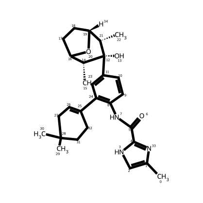 Cc1c[nH]c(C(=O)Nc2ccc([C@@]3(O)[C@H](C)C4CC[C@@H](O4)[C@@H]3C)cc2C2=CCC(C)(C)CC2)n1